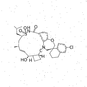 CC(C)C[C@@H]1C[C@H](C)/C=C/[C@H](O)[C@@H]2CC[C@H]2CN2C[C@@]3(CCCc4cc(Cl)ccc43)COc3ccc(cc32)C(=O)NS1(=O)=O